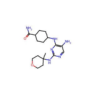 CC1(Nc2ncc(N)c(NC3CCC(C(N)=O)CC3)n2)CCOCC1